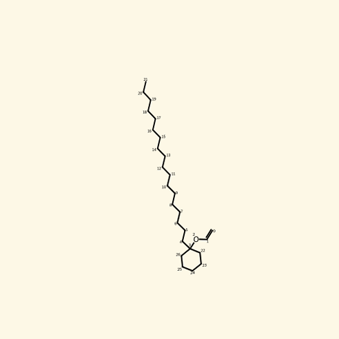 C=COC1(CCCCCCCCCCCCCCCCCC)CCCCC1